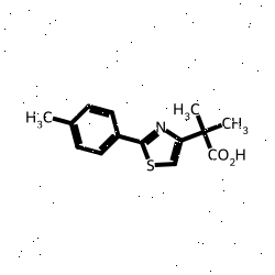 Cc1ccc(-c2nc(C(C)(C)C(=O)O)cs2)cc1